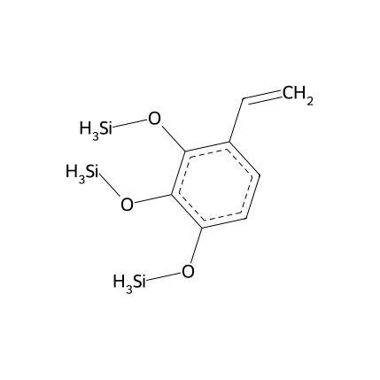 C=Cc1ccc(O[SiH3])c(O[SiH3])c1O[SiH3]